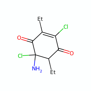 CCC1=C(Cl)C(=O)C(CC)C(N)(Cl)C1=O